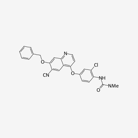 [C-]#[N+]c1cc2c(Oc3ccc(NC(=O)NC)c(Cl)c3)ccnc2cc1OCc1ccccc1